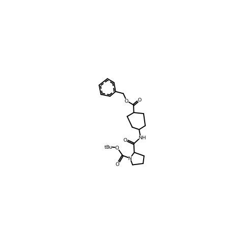 CC(C)(C)OC(=O)N1CCCC1C(=O)NC1CCC(C(=O)OCc2ccccc2)CC1